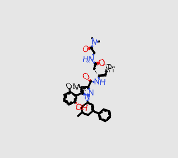 COc1cccc(O)c1-c1cc(C(=O)N[C@H](CC(=O)NCC(=O)N(C)C)CC(C)C)nn1C1C=C(c2ccccc2)CC(C)C1